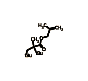 C=C(C)COC(=O)C(C)(CC(C)(C)C)C(C)(C)C